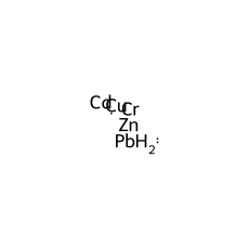 [Cd].[Cr].[Cu].[PbH2].[Zn]